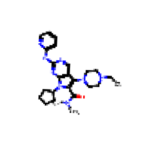 CN(C)C(=O)c1c(N2CCN(CC#N)CC2)c2cnc(Nc3ccccn3)nc2n1C1CCCC1